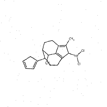 CC1=C2CCC3C(C)C2=C(CCC3C2=CC=CC2)[CH]1[Hf]([Cl])[Cl]